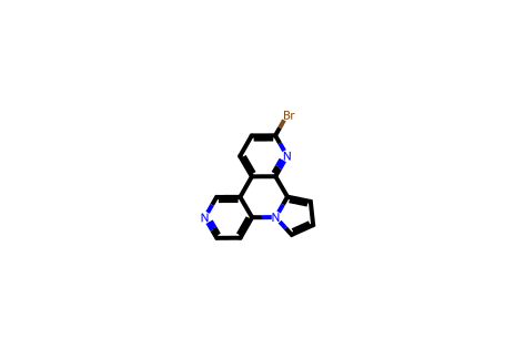 Brc1ccc2c3cnccc3n3cccc3c2n1